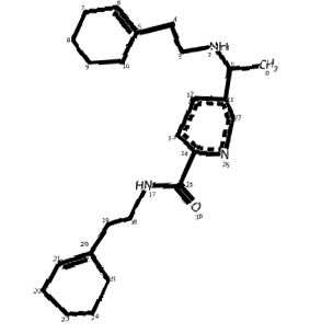 CC(NCCC1=CCCCC1)c1ccc(C(=O)NCCC2=CCCCC2)nc1